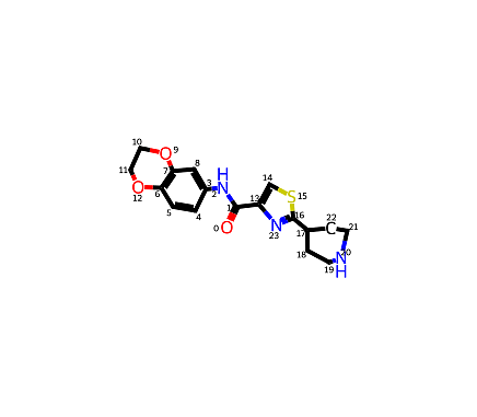 O=C(Nc1ccc2c(c1)OCCO2)c1csc(C2CCNCC2)n1